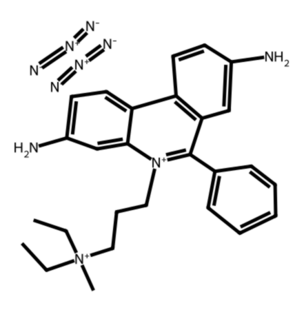 CC[N+](C)(CC)CCC[n+]1c(-c2ccccc2)c2cc(N)ccc2c2ccc(N)cc21.[N-]=[N+]=[N-].[N-]=[N+]=[N-]